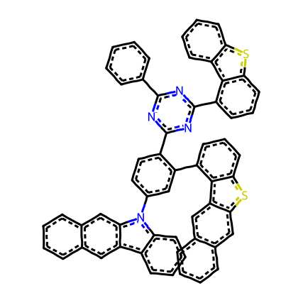 c1ccc(-c2nc(-c3ccc(-n4c5ccccc5c5cc6ccccc6cc54)cc3-c3cccc4sc5cc6ccccc6cc5c34)nc(-c3cccc4sc5ccccc5c34)n2)cc1